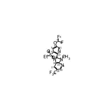 CCS(=O)(=O)c1cc(OC(F)F)cnc1-c1nc2cc(C(F)(F)F)cnc2n1C